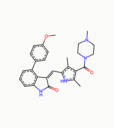 COc1ccc(-c2cccc3c2C(=Cc2[nH]c(C)c(C(=O)N4CCN(C)CC4)c2C)C(=O)N3)cc1